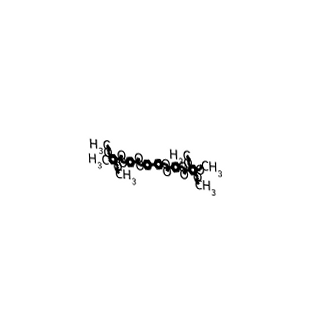 CCOc1cc(C(=O)Oc2ccc(C(=O)Oc3ccc(-c4ccc(OC(=O)c5ccc(OC(=O)c6cc(OCC)c(OCC)cc6OCC)cc5)cc4)cc3)cc2)c(OCC)cc1C